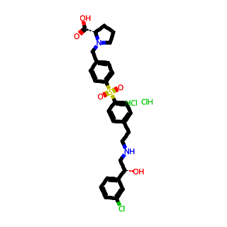 Cl.Cl.O=C(O)[C@@H]1CCCN1Cc1ccc(S(=O)(=O)c2ccc(CCNC[C@H](O)c3cccc(Cl)c3)cc2)cc1